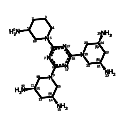 NC1CCCN(c2nc(N3C[C@H](N)C[C@H](N)C3)nc(N3C[C@H](N)C[C@H](N)C3)n2)C1